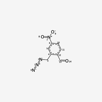 [N-]=[N+]=NCc1cc([N+](=O)[O-])ccc1[C]=O